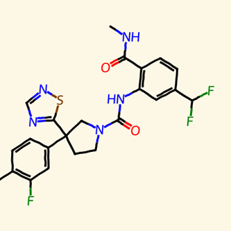 CNC(=O)c1ccc(C(F)F)cc1NC(=O)N1CCC(c2ccc(C)c(F)c2)(c2ncns2)C1